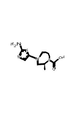 C[C@H]1CN(c2cnc(N)s2)CCN1C(=O)O